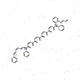 C=C/C=C(\C)c1ccccc1N(C(=C)/C=C\C(=C)C(=C)/C=C\C(=C)C(=C)/C=C\C(=C)C(=C)/C=C\C(=C)N(/C=C/C=C\C=C\c1ccccc1)c1ccccc1)C1C=CC=CC1